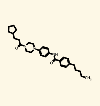 CCCCCc1ccc(C(=O)Nc2ccc(N3CCN(C(=O)CCC4CCCC4)CC3)cc2)cc1